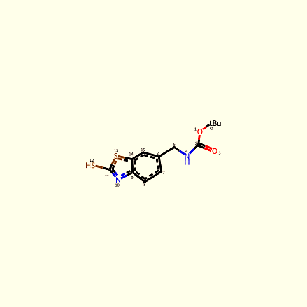 CC(C)(C)OC(=O)NCc1ccc2nc(S)sc2c1